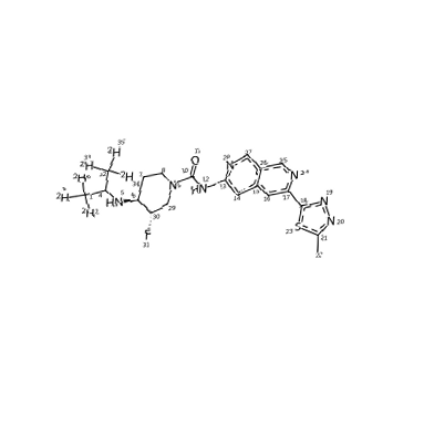 [2H]C([2H])([2H])C(N[C@H]1CCN(C(=O)Nc2cc3cc(-c4nnc(C)s4)ncc3cn2)C[C@@H]1F)C([2H])([2H])[2H]